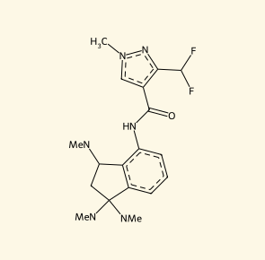 CNC1CC(NC)(NC)c2cccc(NC(=O)c3cn(C)nc3C(F)F)c21